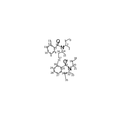 CCC(C)N(C(=O)c1ccccc1C)C(C)CC.CCC(C)N(C(=O)c1ccccc1C)C(C)CC